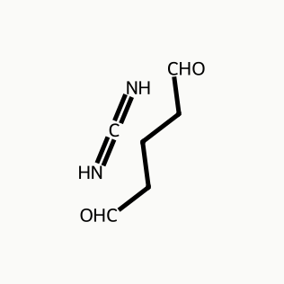 N=C=N.O=CCCCC=O